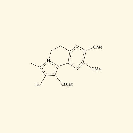 CCOC(=O)c1c(C(C)C)c(C)n2c1-c1cc(OC)c(OC)cc1CC2